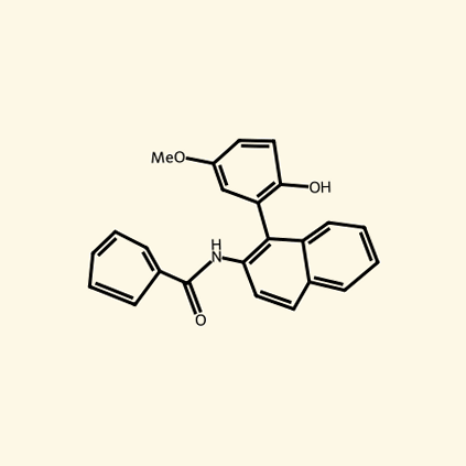 COc1ccc(O)c(-c2c(NC(=O)c3ccccc3)ccc3ccccc23)c1